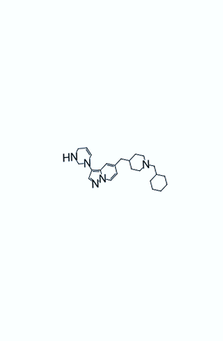 C1=CN(c2cnn3ccc(CC4CCN(CC5CCCCC5)CC4)cc23)CNC1